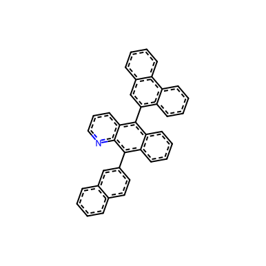 c1ccc2cc(-c3c4ccccc4c(-c4cc5ccccc5c5ccccc45)c4cccnc34)ccc2c1